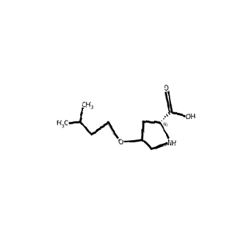 CC(C)CCOC1CN[C@@H](C(=O)O)C1